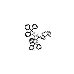 O[C@H]1[C@@H](OC(c2ccccc2)(c2ccccc2)c2ccccc2)[C@H](n2cnc3c(=S)[nH]cnc32)O[C@@H]1COC(c1ccccc1)(c1ccccc1)c1ccccc1